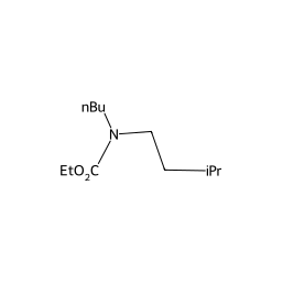 CCCCN(CCC(C)C)C(=O)OCC